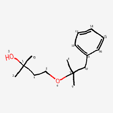 CC(C)(O)CCOC(C)(C)Cc1ccccc1